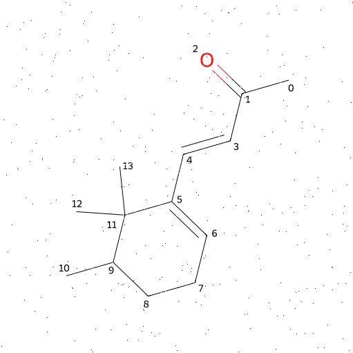 CC(=O)/C=C/C1=CCCC(C)C1(C)C